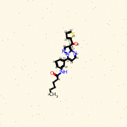 CCCCCC(=O)Nc1cccc(-c2ccnc3c(C(=O)c4cccs4)cnn23)c1